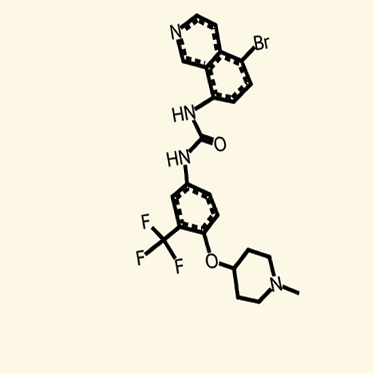 CN1CCC(Oc2ccc(NC(=O)Nc3ccc(Br)c4ccncc34)cc2C(F)(F)F)CC1